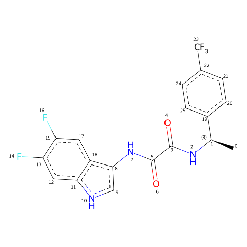 C[C@@H](NC(=O)C(=O)Nc1c[nH]c2cc(F)c(F)cc12)c1ccc(C(F)(F)F)cc1